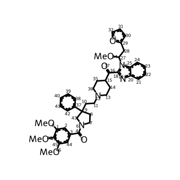 COc1cc(C(=O)N2CCC(CCN3CCC(C(=O)c4nc5ccccc5n4C(Cc4ccco4)OC)CC3)(c3ccccc3)C2)cc(OC)c1OC